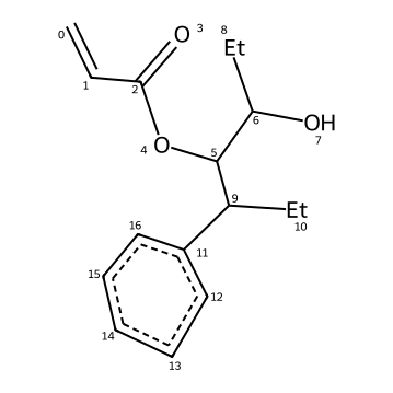 C=CC(=O)OC(C(O)CC)C(CC)c1ccccc1